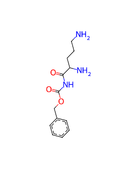 NCCCC(N)C(=O)NC(=O)OCc1ccccc1